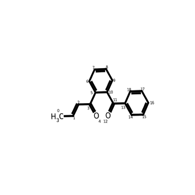 CC=CC(=O)c1ccccc1C(=O)c1ccccc1